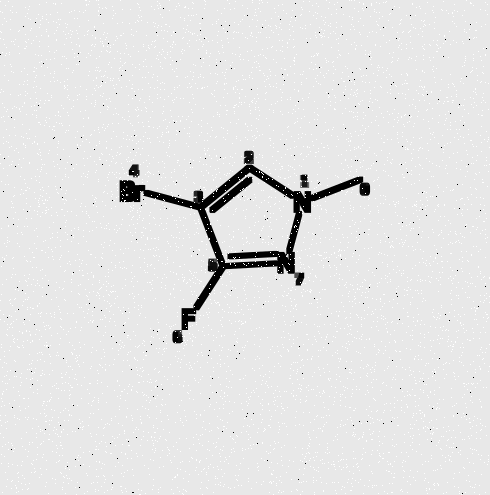 Cn1cc(Br)c(F)n1